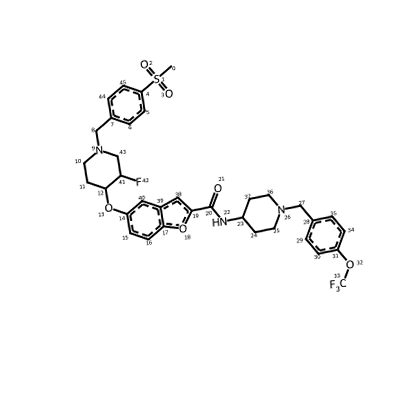 CS(=O)(=O)c1ccc(CN2CCC(Oc3ccc4oc(C(=O)NC5CCN(Cc6ccc(OC(F)(F)F)cc6)CC5)cc4c3)C(F)C2)cc1